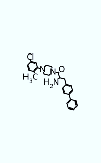 Cc1ccc(Cl)cc1N1CCN(C(=O)C(N)Cc2ccc(-c3ccccc3)cc2)CC1